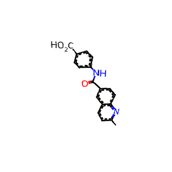 Cc1ccc2cc(C(=O)Nc3ccc(C(=O)O)cc3)ccc2n1